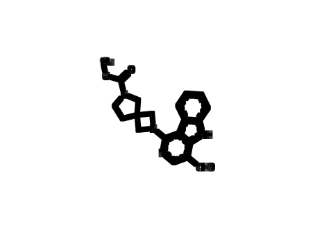 CC(C)(C)OC(=O)N1CCC2(C1)CN(c1ncc(C=O)c3[nH]c4ccccc4c13)C2